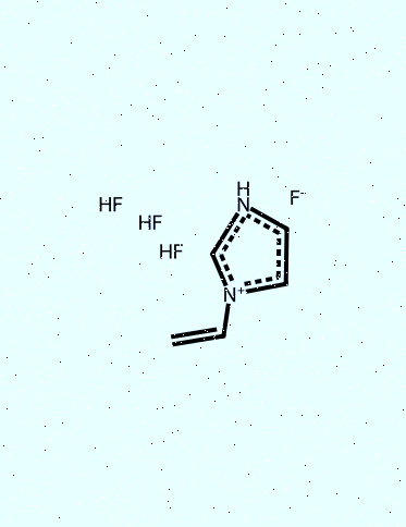 C=C[n+]1cc[nH]c1.F.F.F.[F-]